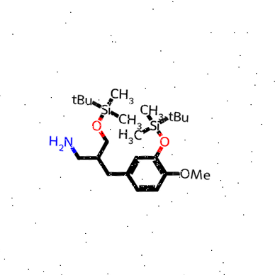 COc1ccc(CC(CN)CO[Si](C)(C)C(C)(C)C)cc1O[Si](C)(C)C(C)(C)C